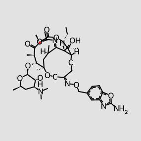 CC[C@H]1OC(=O)[C@H](C)C(=O)[C@H](C)[C@@H](O[C@@H]2O[C@H](C)C[C@H](N(C)C)[C@H]2O)[C@@]2(C)C[C@@H](C)/C(=N\C(C)=O)[C@H](C)[C@@H](CC/C(=N\OCc3ccc4oc(N)nc4c3)CO2)[C@]1(C)O